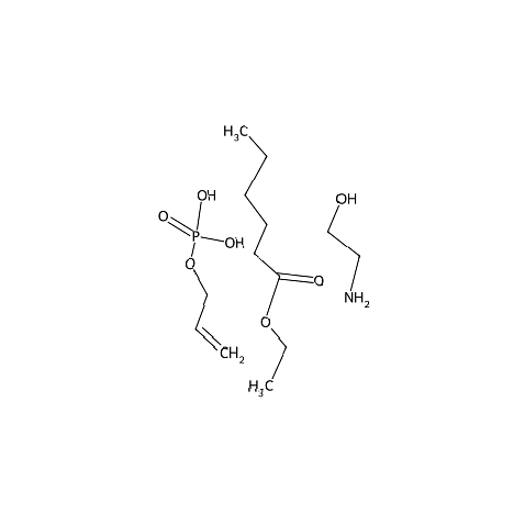 C=CCOP(=O)(O)O.CCCCCC(=O)OCC.NCCO